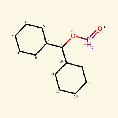 O=[PH2]OC(C1CCCCC1)C1CCCCC1